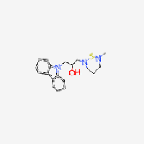 CN1CCCN(CC(O)Cn2c3ccccc3c3ccccc32)S1